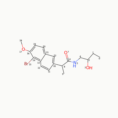 CCC(O)CNC(=O)C(C)c1ccc2c(Br)c(OC)ccc2c1